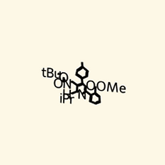 COC(=O)c1ccccc1-c1cc(-c2ccc(C)cc2)c(CNC(=O)OC(C)(C)C)c(CC(C)C)n1